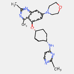 Cc1nccc(N[C@H]2CC[C@@H](Oc3cc(N4CCOCC4)cc4nc(C)nc(C)c34)CC2)n1